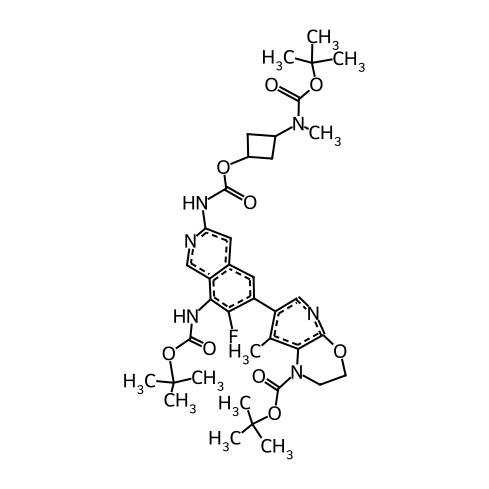 Cc1c(-c2cc3cc(NC(=O)OC4CC(N(C)C(=O)OC(C)(C)C)C4)ncc3c(NC(=O)OC(C)(C)C)c2F)cnc2c1N(C(=O)OC(C)(C)C)CCO2